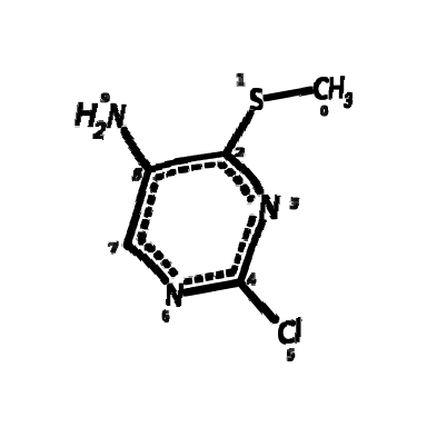 CSc1nc(Cl)ncc1N